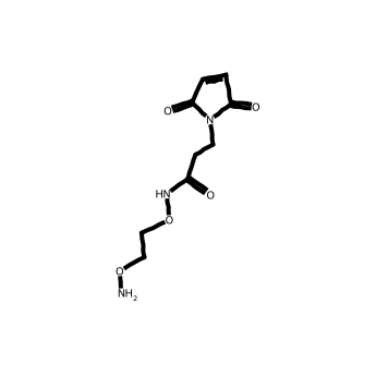 NOCCONC(=O)CCN1C(=O)C=CC1=O